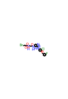 O=C(CCNC(=O)C(O)=CCBr)Nc1ccc2ncnc(Nc3ccc(OCc4cccc(F)c4)c(Cl)c3)c2c1